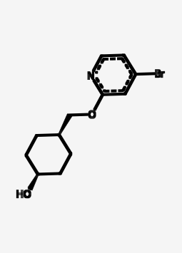 O[C@H]1CC[C@@H](COc2cc(Br)ccn2)CC1